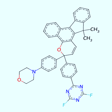 CC1(C)c2ccccc2-c2c1c1c(c3ccccc23)OC(c2ccc(-c3nc(F)nc(F)n3)cc2)(c2ccc(N3CCOCC3)cc2)C=C1